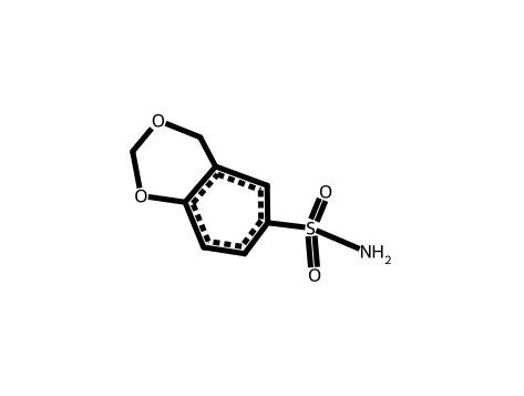 NS(=O)(=O)c1ccc2c(c1)COCO2